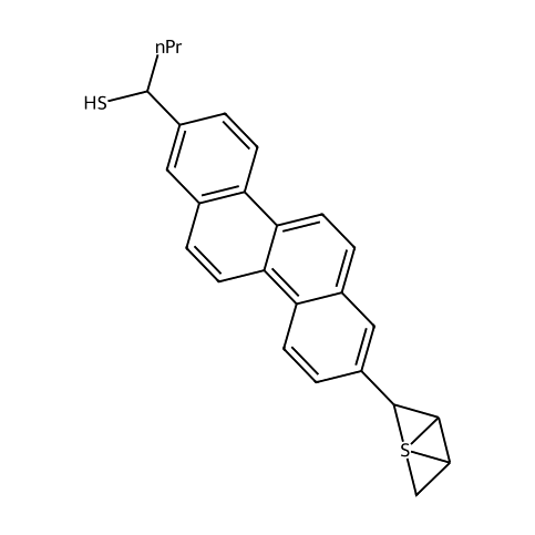 CCCC(S)c1ccc2c(ccc3c4ccc(C5C6C7CS756)cc4ccc23)c1